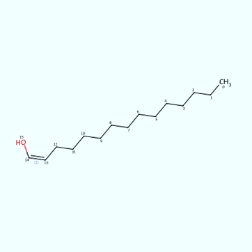 CCCCCCCCCCCCC/C=[C]\O